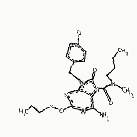 CCCCN(C)C(=O)n1c(=O)n(Cc2ccc(Cl)cc2)c2nc(OSCCC)nc(N)c21